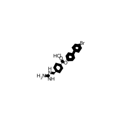 Cl.N=C(N)NC[C@H]1CC[C@H](C(=O)Oc2ccc(-c3ccc(Br)cc3)cc2)CC1